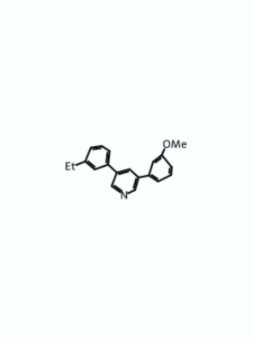 CCc1cccc(-c2cncc(-c3cccc(OC)c3)c2)c1